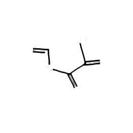 C=C(NC=O)C(=O)O